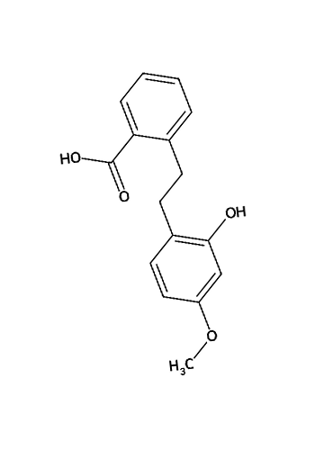 COc1ccc(CCc2ccccc2C(=O)O)c(O)c1